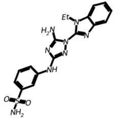 CCn1c(-n2nc(Nc3cccc(S(N)(=O)=O)c3)nc2N)nc2ccccc21